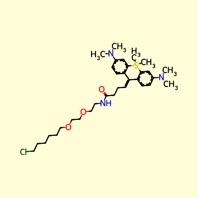 CN(C)c1ccc2c(c1)S(C)(C)c1cc(N(C)C)ccc1C2=CCCC(=O)NCCOCCOCCCCCCCl